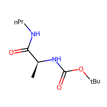 CCCNC(=O)[C@H](C)NC(=O)OC(C)(C)C